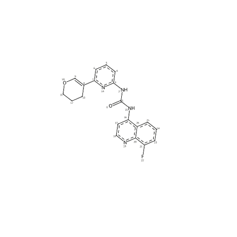 O=C(Nc1cccc(C2=COCCC2)n1)Nc1ccnc2c(F)cccc12